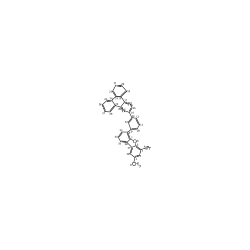 Cc1cc(C(C)C)c2oc3c(-c4cccc(-c5cnc6c7ccccc7c7ccccc7c6n5)c4)cccc3c2c1